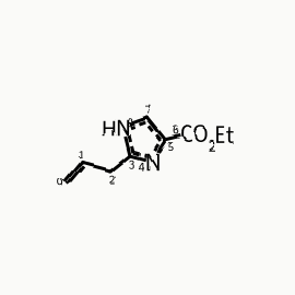 C=CCc1nc(C(=O)OCC)c[nH]1